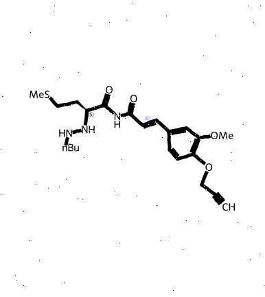 C#CCOc1ccc(/C=C/C(=O)NC(=O)[C@H](CCSC)NNCCCC)cc1OC